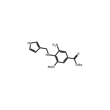 COC(=O)c1cc(OC)c(NCc2cc[nH]c2)c([N+](=O)[O-])c1